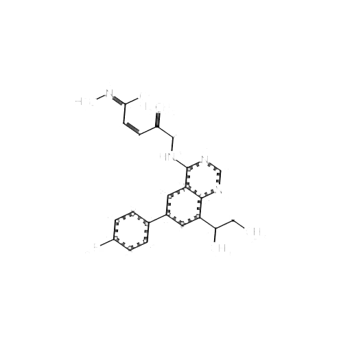 C=C(/C=C\C(C)=N/C)CNc1ncnc2c(C(C)CC)cc(-c3ccc(F)cc3)cc12